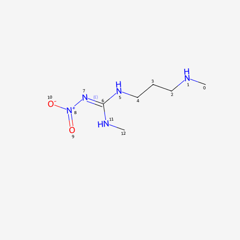 CNCCCN/C(=N/[N+](=O)[O-])NC